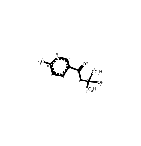 O=C(CC(O)(C(=O)O)C(=O)O)c1ccc(C(F)(F)F)nc1